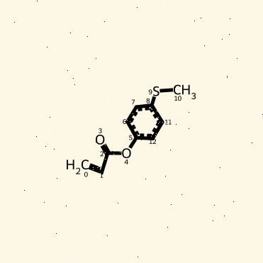 C=CC(=O)Oc1ccc(SC)cc1